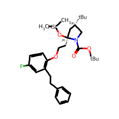 C[SiH](C)O[C@@]1(CCOc2ccc(F)cc2CCc2ccccc2)C[C@H](C(C)(C)C)CN1C(=O)OC(C)(C)C